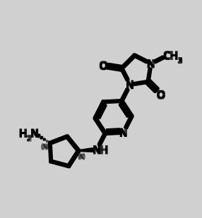 CN1CC(=O)N(c2ccc(N[C@H]3CC[C@H](N)C3)nc2)C1=O